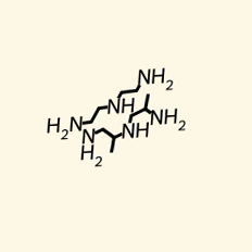 CC(N)CNC(C)CN.NCCNCCN